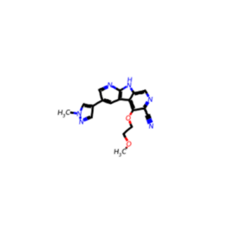 COCCOc1c(C#N)ncc2[nH]c3ncc(-c4cnn(C)c4)cc3c12